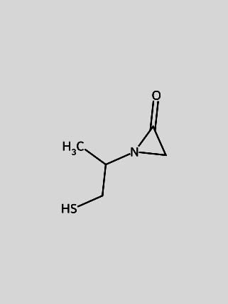 CC(CS)N1CC1=O